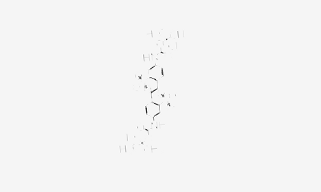 CC(C)(C)OC(=O)Nc1ccc(C=Cc2ccc(NC(=O)OC(C)(C)C)cc2S(=O)(=O)O)c(S(=O)(=O)O)c1